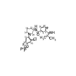 CC(C)C(=N)c1cc(C(=O)N[C@@H]2CCCN(c3ccc(OC(F)(F)F)cc3Cl)C2)ccn1